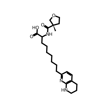 C[C@]1(C(=O)NC(CCCCCCCc2ccc3c(n2)NCCC3)C(=O)O)CCOC1